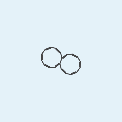 C1=CC=CC=C2C=CC=CC=CC=CC=C2C=CC=C1